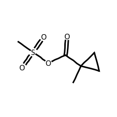 CC1(C(=O)OS(C)(=O)=O)CC1